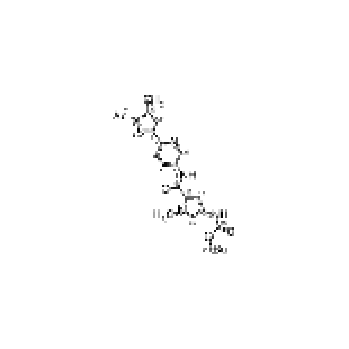 CC(=O)c1sc(-c2ccc(NC(=O)c3cc(NC(=O)OC(C)(C)C)cn3C)cn2)cc1C